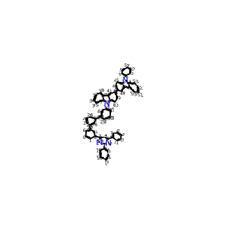 C1=CC(c2cc(-c3ccccc3)nc(-c3ccccc3)n2)CC(c2cccc(-c3cccc(-n4c5ccccc5c5cc(-c6ccc7c(c6)c6ccccc6n7-c6ccccc6)ccc54)c3)c2)=C1